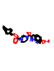 N[C@@H](Cc1ccc(O)cc1)C(=O)N1CCCN(C(=O)OCc2ccccc2)CC1